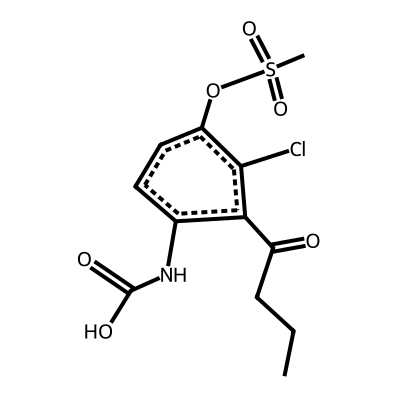 CCCC(=O)c1c(NC(=O)O)ccc(OS(C)(=O)=O)c1Cl